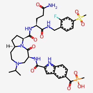 CC(C)N1CC[C@H]2CC[C@@H](C(=O)N[C@@H](CCC(N)=O)C(=O)NCc3ccc(S(C)(=O)=O)cc3F)N2C(=O)[C@@H](NC(=O)c2cc3cc(C(=O)P(C)(=O)O)ccc3[nH]2)C1